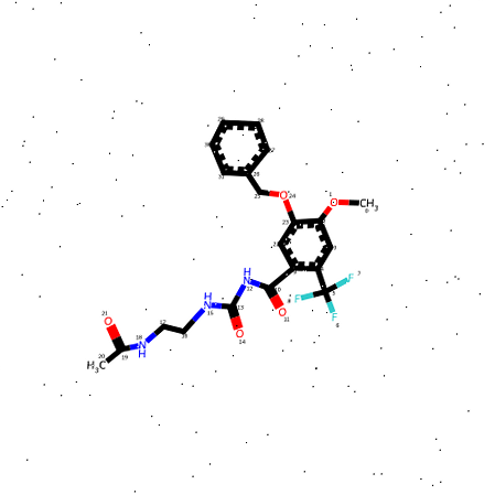 COc1cc(C(F)(F)F)c(C(=O)NC(=O)NCCNC(C)=O)cc1OCc1ccccc1